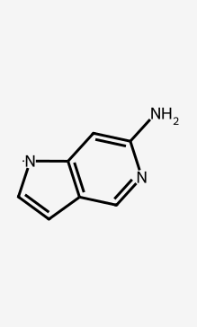 Nc1cc2c(cn1)C=C[N]2